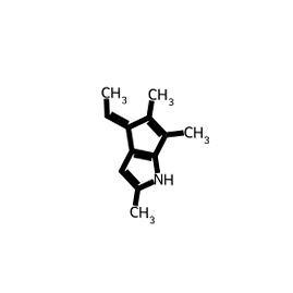 CC=C1C(C)=C(C)c2[nH]c(C)cc21